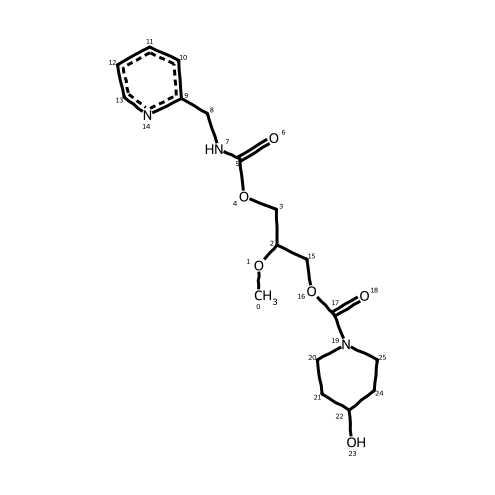 COC(COC(=O)NCc1ccccn1)COC(=O)N1CCC(O)CC1